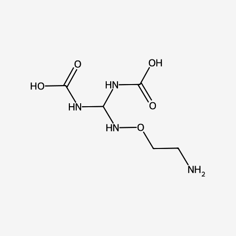 NCCONC(NC(=O)O)NC(=O)O